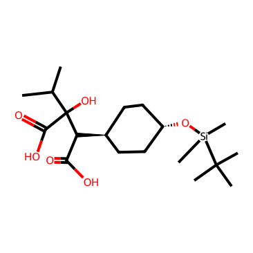 CC(C)C(O)(C(=O)O)C(C(=O)O)[C@H]1CC[C@H](O[Si](C)(C)C(C)(C)C)CC1